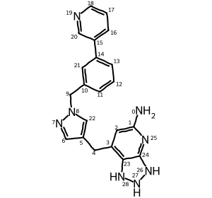 Nc1cc(Cc2cnn(Cc3cccc(-c4cccnc4)c3)c2)c2c(n1)NNN2